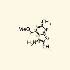 COCc1cc(C)nc2sc(C)c(N)c12